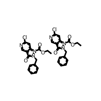 CCOC(=O)n1c2cc(Cl)ncc2c(=O)n1Cc1ccccc1.CCOC(=O)n1c2cc(Cl)ncc2c(=O)n1Cc1ccccc1